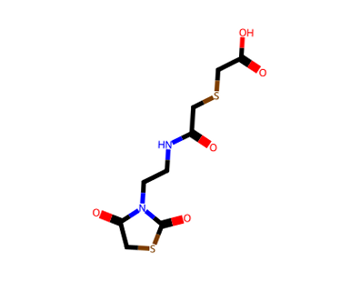 O=C(O)CSCC(=O)NCCN1C(=O)CSC1=O